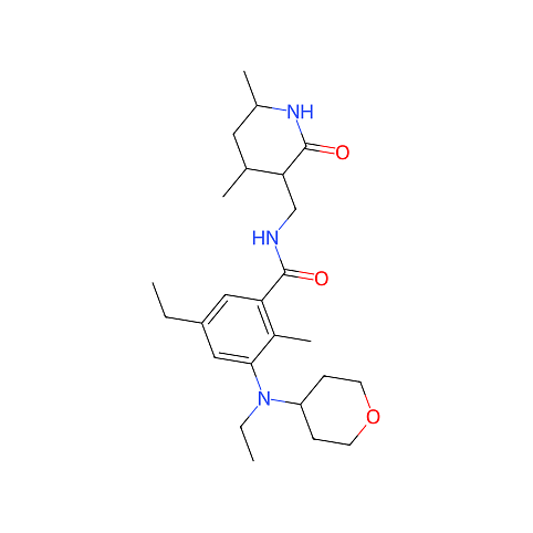 CCc1cc(C(=O)NCC2C(=O)NC(C)CC2C)c(C)c(N(CC)C2CCOCC2)c1